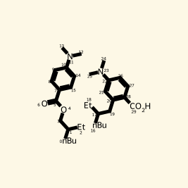 CCCCC(CC)COC(=O)c1ccc(N(C)C)cc1.CCCCC(CC)Cc1cc(N(C)C)ccc1C(=O)O